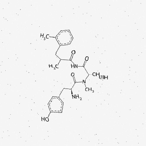 Cc1ccccc1CC(C)C(=O)NC(=O)[C@H](C)N(C)C(=O)[C@@H](N)Cc1ccc(O)cc1.Cl